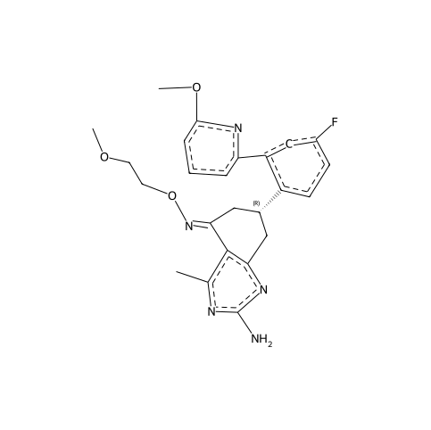 COCCON=C1C[C@H](c2ccc(F)cc2-c2cccc(OC)n2)Cc2nc(N)nc(C)c21